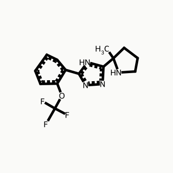 CC1(c2nnc(-c3ccccc3OC(F)(F)F)[nH]2)CCCN1